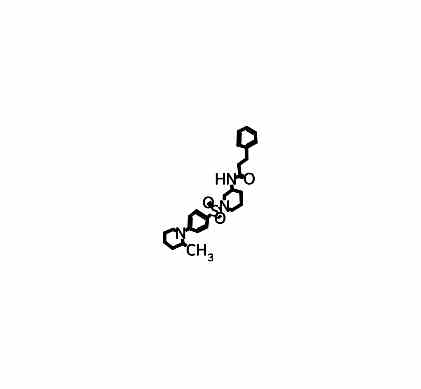 CC1CCCCN1c1ccc(S(=O)(=O)N2CCCC(NC(=O)CCc3ccccc3)C2)cc1